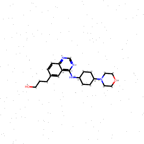 OCCCc1ccc2ncnc(NC3CCC(N4CCOCC4)CC3)c2c1